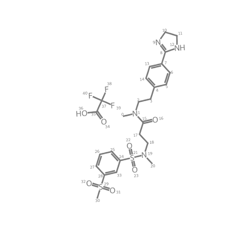 CN(CCc1ccc(C2=NCCN2)cc1)C(=O)CCN(C)S(=O)(=O)c1cccc(S(C)(=O)=O)c1.O=C(O)C(F)(F)F